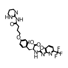 O=C(CCCOc1ccc(C[C@H](Nc2nc3nc(C(F)(F)F)ccc3o2)C(=O)O)cc1)NC1=NCCCN1